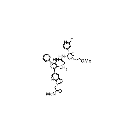 CNC(=O)Cn1cnc2cc(-c3nn(-c4ccccc4)c(NC(=O)N[C@@H]4CN(CCOC)O[C@H]4c4ccnc(F)c4)c3C)cnc21